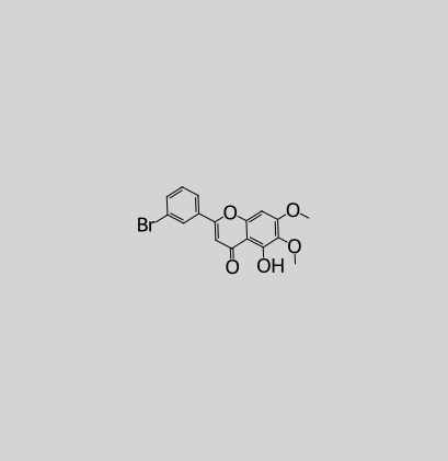 COc1cc2oc(-c3cccc(Br)c3)cc(=O)c2c(O)c1OC